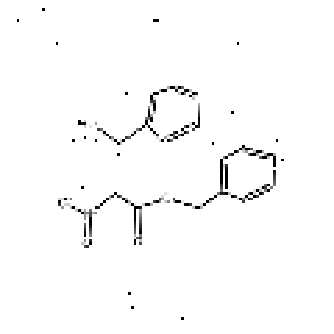 O=C(C[N+](=O)[O-])OCc1ccccc1.OCc1ccccc1